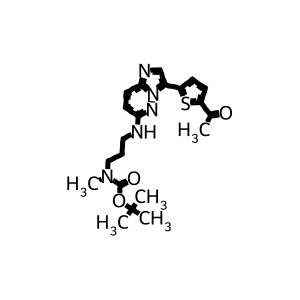 CC(=O)c1ccc(-c2cnc3ccc(NCCCN(C)C(=O)OC(C)(C)C)nn23)s1